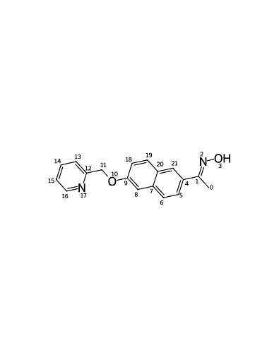 CC(=NO)c1ccc2cc(OCc3ccccn3)ccc2c1